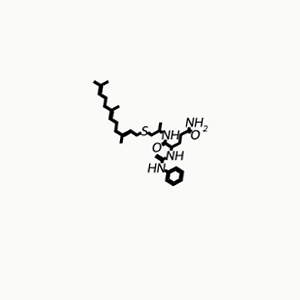 C=C(Nc1ccccc1)NC(CCC(N)=O)C(=O)NC(C)CSC/C=C(\C)CC/C=C(\C)CCC=C(C)C